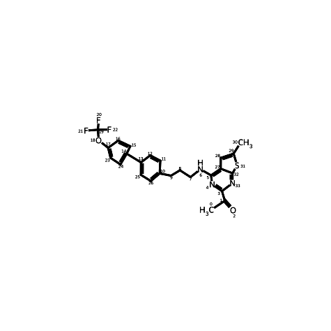 CC(=O)c1nc(NCCCc2ccc(-c3ccc(OC(F)(F)F)cc3)cc2)c2cc(C)sc2n1